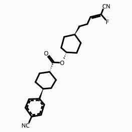 N#CC(F)=CCC[C@H]1CC[C@H](OC(=O)[C@H]2CC[C@H](c3ccc(C#N)cc3)CC2)CC1